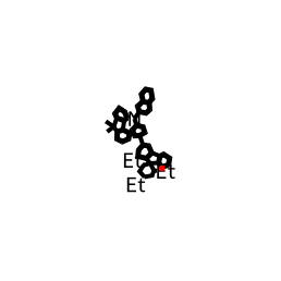 CCC1CC(CC)C2(c3ccccc3-c3cc(-c4ccc(N(c5ccc6ccccc6c5)c5cccc6c5-c5ccccc5C6(C)C)cc4)ccc32)C(CC)C1